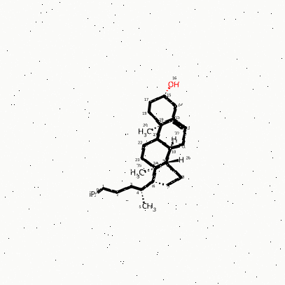 CC(C)CCC[C@@H](C)[C@H]1CC[C@H]2[C@@H]3CC=C4C[C@@H](O)CC[C@]4(C)C3CC[C@]12C